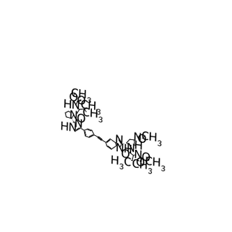 CO/N=C1/C[C@@H](c2nc3cc(C#Cc4ccc(-c5c[nH]c([C@@H]6CCCN6C(=O)[C@@H](NC(=O)OC)C(C)C)n5)cc4)ccc3[nH]2)N(C(=O)[C@@H](NC(=O)OC)C(C)C)C1